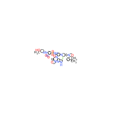 CC(C)c1ccccc1[C@@H]1COCCN1C1CC2(CCN(c3ccc(C(=O)NS(=O)(=O)c4ccc(NC[C@H]5CC[C@](C)(O)CC5)c([N+](=O)[O-])c4)c(N4CC[C@@H]5COCCCN5c5nc6[nH]cc(F)c6cc54)c3)CC2)C1